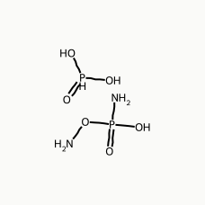 NOP(N)(=O)O.O=[PH](O)O